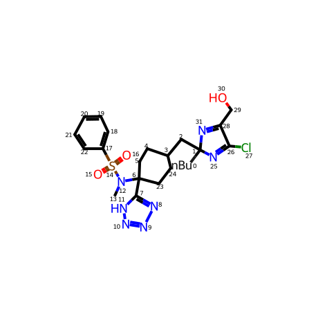 CCCCC1(CC2CCC(c3nnn[nH]3)(N(C)S(=O)(=O)c3ccccc3)CC2)N=C(Cl)C(CO)=N1